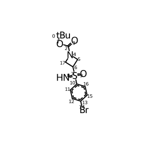 CC(C)(C)OC(=O)N1CC(S(=N)(=O)c2ccc(Br)cc2)C1